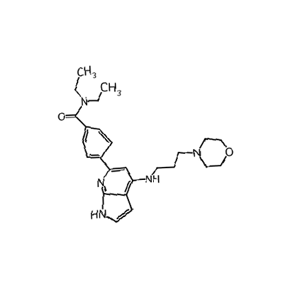 CCN(CC)C(=O)c1ccc(-c2cc(NCCCN3CCOCC3)c3cc[nH]c3n2)cc1